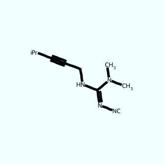 [C-]#[N+]/N=C(/NCC#CC(C)C)N(C)C